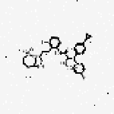 O=C(O)NC(C(=O)Nc1cccc(F)c1CCC1CNC2CCCS(=O)(=O)N1C2)C(c1ccc(F)cc1)c1ccc(C2CC2)cc1